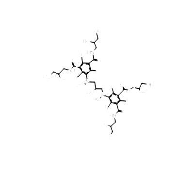 CC(=O)N(CC(O)CN(C=O)c1c(C)c(C(=O)NCC(O)CO)c(I)c(C(=O)NCC(O)CO)c1I)c1c(I)c(C(=O)NCC(O)CO)c(C)c(C(=O)NCC(O)CO)c1I